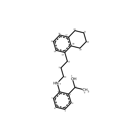 CC(O)c1ccccc1NCCCc1cccc2c1CCCC2